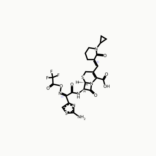 Nc1nc(/C(=N/OC(=O)C(F)(F)F)C(=O)N[C@@H]2C(=O)N3C(C(=O)O)=C(/C=C4\CCCN(C5CC5)C4=O)CS[C@H]23)cs1